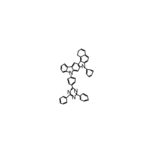 C1=Cc2ccc3c(c2CC1)c1cc2c4ccccc4n(-c4ccc(-c5nc(-c6ccccc6)nc(-c6ccccc6)n5)cc4)c2cc1n3-c1ccccc1